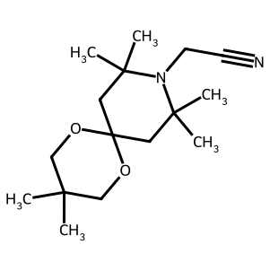 CC1(C)COC2(CC(C)(C)N(CC#N)C(C)(C)C2)OC1